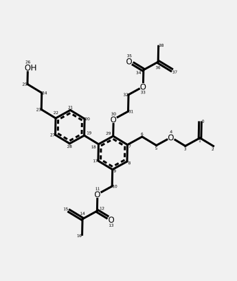 C=C(C)COCCc1cc(COC(=O)C(=C)C)cc(-c2ccc(CCCO)cc2)c1OCCOC(=O)C(=C)C